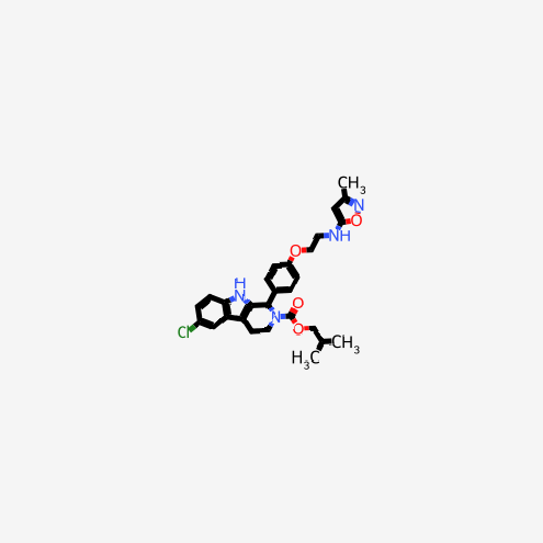 Cc1cc(NCCOc2ccc(C3c4[nH]c5ccc(Cl)cc5c4CCN3C(=O)OCC(C)C)cc2)on1